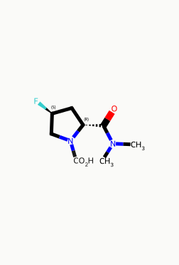 CN(C)C(=O)[C@H]1C[C@H](F)CN1C(=O)O